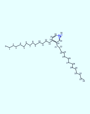 CCCCCCCCCCCCCCc1cc[n+](C)cc1CCCCCCCCCCCCCC